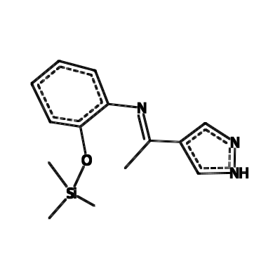 CC(=Nc1ccccc1O[Si](C)(C)C)c1cn[nH]c1